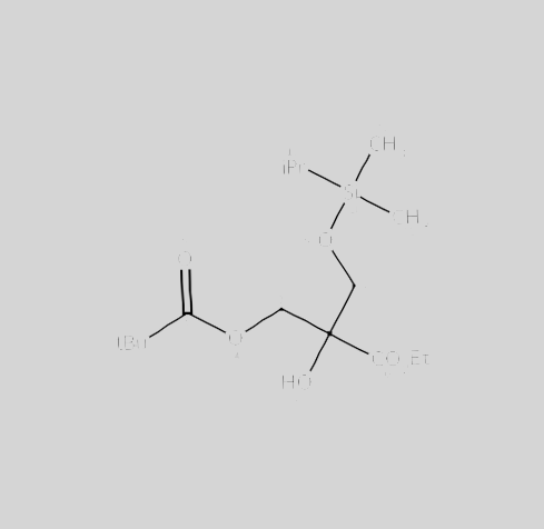 CCOC(=O)C(O)(COC(=O)C(C)(C)C)CO[Si](C)(C)C(C)C